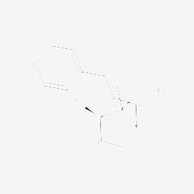 CC1(C)[C@@H]2CC[C@]1(C)[C@@H](O)C2Cc1ccccc1